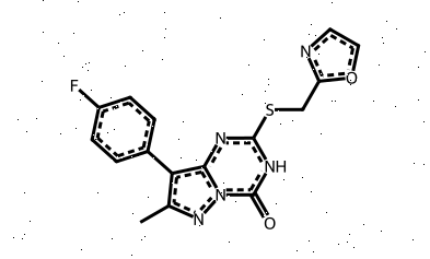 Cc1nn2c(=O)[nH]c(SCc3ncco3)nc2c1-c1ccc(F)cc1